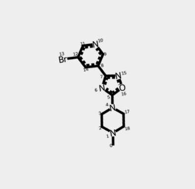 CN1CCN(c2nc(-c3cncc(Br)c3)no2)CC1